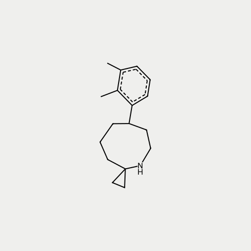 Cc1cccc(C2CCCC3(CC3)NCC2)c1C